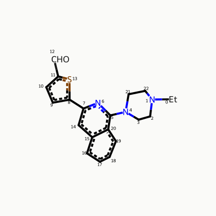 CCN1CCN(c2nc(-c3ccc(C=O)s3)cc3ccccc23)CC1